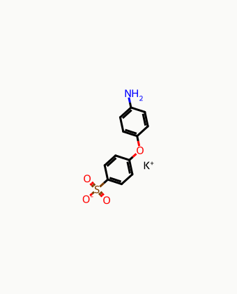 Nc1ccc(Oc2ccc(S(=O)(=O)[O-])cc2)cc1.[K+]